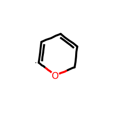 [C]1=CC=CCO1